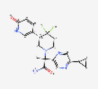 CC(C(N)=O)(c1cnc(C2CC2)cn1)N1CCC(F)(F)[C@@H](c2ccc(=O)[nH]c2)C1